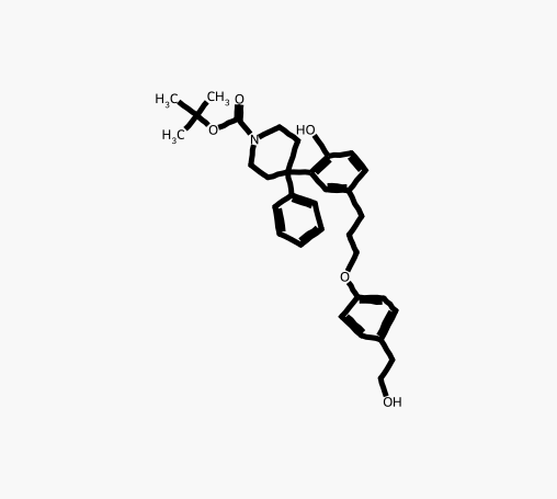 CC(C)(C)OC(=O)N1CCC(c2ccccc2)(c2cc(CCCOc3ccc(CCO)cc3)ccc2O)CC1